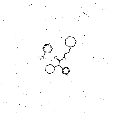 Nc1ccncc1.O=C(OCCN1CCCCCC1)C(c1ccsc1)C1CCCCC1